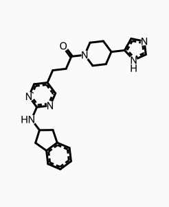 O=C(CCc1cnc(NC2Cc3ccccc3C2)nc1)N1CCC(c2cnc[nH]2)CC1